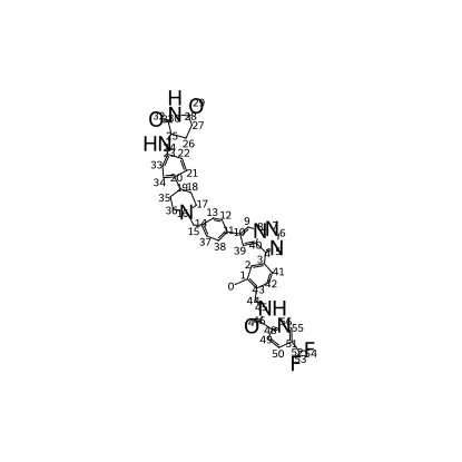 Cc1cc(-c2ncnn3cc(-c4ccc(CN5CCC(c6ccc(NC7CCC(=O)NC7=O)cc6)CC5)cc4)cc23)ccc1CNC(=O)c1ccc(C(F)F)cn1